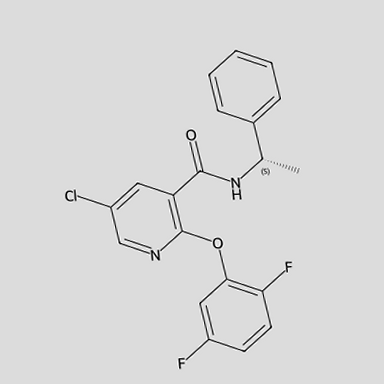 C[C@H](NC(=O)c1cc(Cl)cnc1Oc1cc(F)ccc1F)c1ccccc1